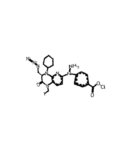 [N-]=[N+]=NC[C@@H]1C(=O)N(CI)c2ccc(N(N)c3ccc(C(=O)OCl)cc3)nc2N1C1CCCCC1